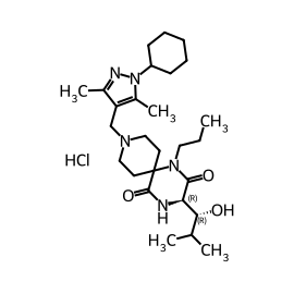 CCCN1C(=O)[C@@H]([C@H](O)C(C)C)NC(=O)C12CCN(Cc1c(C)nn(C3CCCCC3)c1C)CC2.Cl